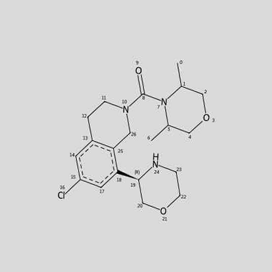 CC1COCC(C)N1C(=O)N1CCc2cc(Cl)cc([C@@H]3COCCN3)c2C1